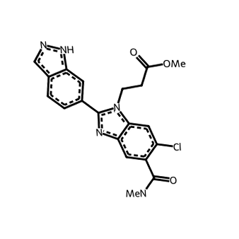 CNC(=O)c1cc2nc(-c3ccc4cn[nH]c4c3)n(CCC(=O)OC)c2cc1Cl